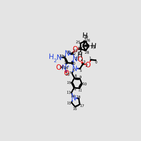 CCOC(=O)CN(Cc1cccc(CN2CCCC2)c1)c1nc(O[C@@H]2C[C@@H]3C4C2[C@@H]43)nc(N)c1[N+](=O)[O-]